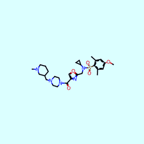 COc1cc(C)c(S(=O)(=O)N(Cc2nc(C(=O)N3CCN(CC4CCCN(C)C4)CC3)co2)C2CC2)c(C)c1